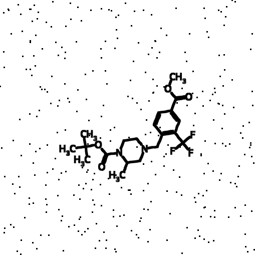 COC(=O)c1ccc(CN2CCN(C(=O)OC(C)(C)C)C(C)C2)c(C(F)(F)F)c1